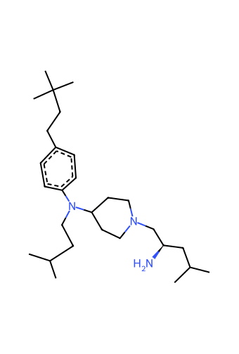 CC(C)CCN(c1ccc(CCC(C)(C)C)cc1)C1CCN(C[C@H](N)CC(C)C)CC1